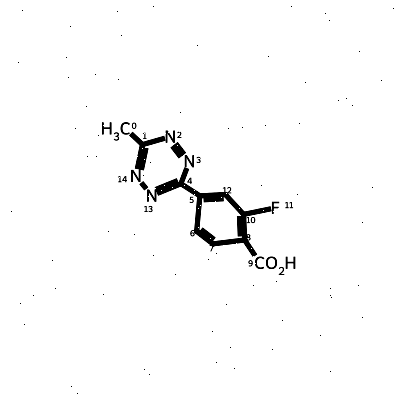 Cc1nnc(-c2ccc(C(=O)O)c(F)c2)nn1